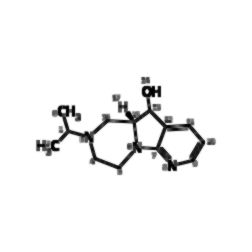 CC(C)N1CCN2c3ncccc3C(O)[C@H]2C1